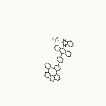 CCc1nc2ccccc2n1-c1c2ccccc2c(-c2ccc(-c3ccc4c(c3)c3ccccc3c3cccc5ccc6cccc4c6c53)cc2)c2ccccc12